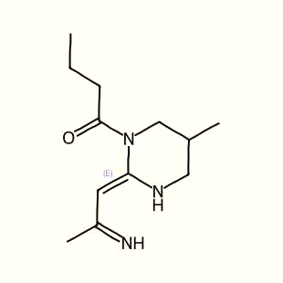 CCCC(=O)N1CC(C)CN/C1=C\C(C)=N